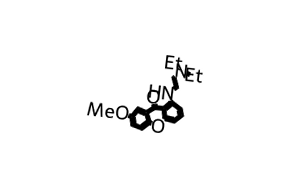 CCN(CC)CCNc1cccc2oc3ccc(OC)cc3c(=O)c12